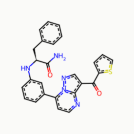 NC(=O)[C@H](Cc1ccccc1)Nc1cccc(-c2ccnc3c(C(=O)c4cccs4)cnn23)c1